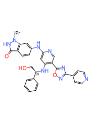 CC(C)n1[nH]c(=O)c2ccc(Nc3cc(N[C@H](CO)c4ccccc4)c(-c4nc(-c5ccncc5)no4)cn3)cc21